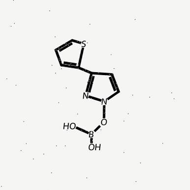 OB(O)On1ccc(-c2cccs2)n1